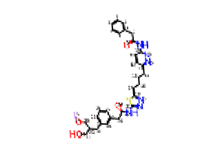 O=C(Cc1ccccc1)Nc1ccc(CCCCc2nnc(NC(=O)Cc3cccc(CC(CO)COI)c3)s2)nn1